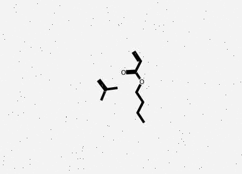 C=C(C)C.C=CC(=O)OCCCC